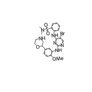 COc1ccc(C2CNCCO2)cc1Nc1ncc(Br)c(Nc2ccccc2S(=O)(=O)N(C)C)n1